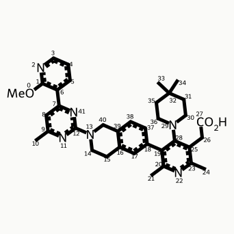 COc1ncccc1-c1cc(C)nc(N2CCc3cc(-c4c(C)nc(C)c(CC(=O)O)c4N4CCC(C)(C)CC4)ccc3C2)n1